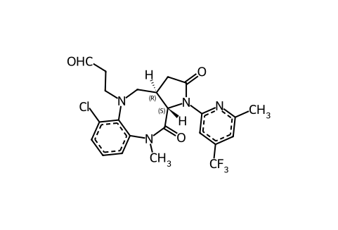 Cc1cc(C(F)(F)F)cc(N2C(=O)C[C@@H]3CN(CCC=O)c4c(Cl)cccc4N(C)C(=O)[C@H]32)n1